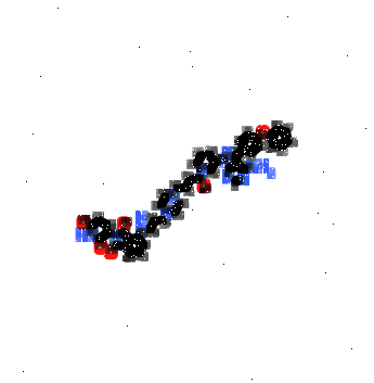 Nc1ncnc2c1c(-c1ccc(Oc3ccccc3)cc1)nn2C1CCCN(C(=O)CCCN2CCN(CCCNc3cccc4c3C(=O)N(C3CCC(=O)NC3=O)C4=O)CC2)C1